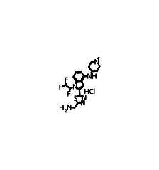 CN1CCC(Nc2cccc3c2cc(-c2nnc(CN)s2)n3C(F)C(F)F)CC1.Cl